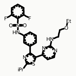 CCOCCNc1nccc(-c2sc(C(C)C)nc2-c2cccc(NS(=O)(=O)c3c(F)cccc3F)c2)n1